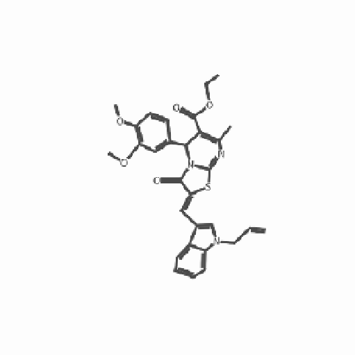 C=CCn1cc(/C=c2\sc3n(c2=O)C(c2ccc(OC)c(OC)c2)C(C(=O)OCC)=C(C)N=3)c2ccccc21